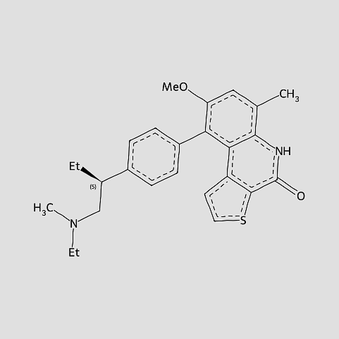 CC[C@H](CN(C)CC)c1ccc(-c2c(OC)cc(C)c3[nH]c(=O)c4sccc4c23)cc1